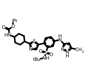 Cc1cc(Nc2ccc(-c3cnc(C4CCC(NC(=O)OC(C)C)CC4)s3)c(S(=O)(=O)NC(C)(C)C)c2)n[nH]1